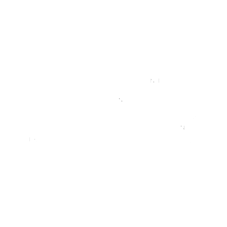 Nc1cc([N+](=O)[O-])c(Cl)cc1Nc1ccc(CCO)cc1